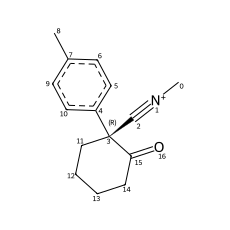 C[N+]#C[C@]1(c2ccc(C)cc2)CCCCC1=O